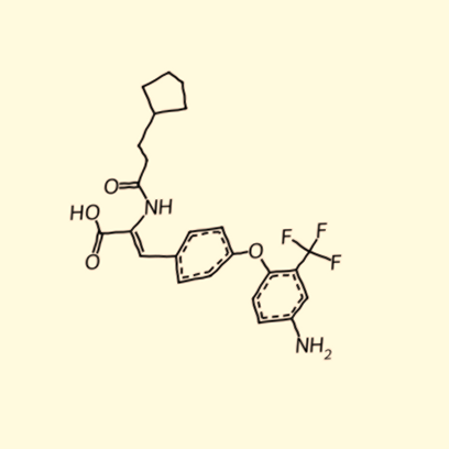 Nc1ccc(Oc2ccc(C=C(NC(=O)CCC3CCCC3)C(=O)O)cc2)c(C(F)(F)F)c1